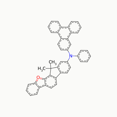 CC1(C)c2cc(N(c3ccccc3)c3ccc4c5ccccc5c5ccccc5c4c3)ccc2-c2ccc3c(oc4ccccc43)c21